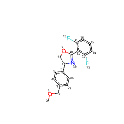 COCc1ccc(C2COC(c3c(F)cccc3F)=N2)cc1